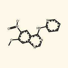 COc1cc2ncnc(Nc3ccccn3)c2cc1[N+](=O)[O-]